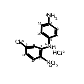 Cl.Nc1ccc(Nc2cc(Cl)ccc2[N+](=O)[O-])cc1